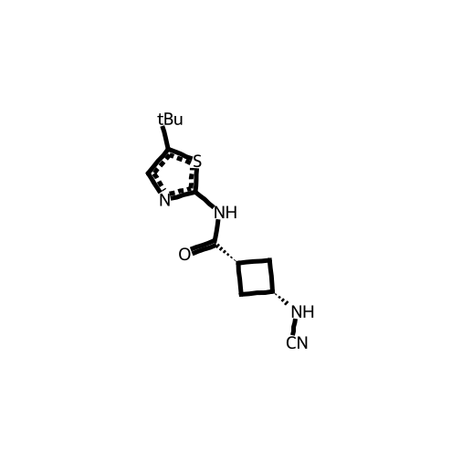 CC(C)(C)c1cnc(NC(=O)[C@H]2C[C@@H](NC#N)C2)s1